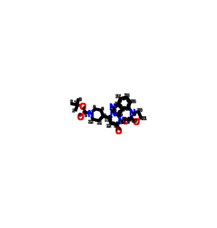 CC(C)(C)OC(=O)N1CCC(c2cc(=O)[nH]c3c4c(N5CCOC5=O)cccc4nn23)CC1